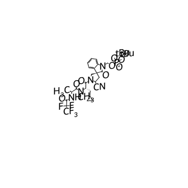 C[C@H](NC(=O)C(F)(F)C(F)(F)F)C(=O)N(C)[C@@H](CC1CC1)C(=O)N1C[C@]2(C[C@H]1C#N)C(=O)N(COP(=O)(OC(C)(C)C)OC(C)(C)C)c1ccccc12